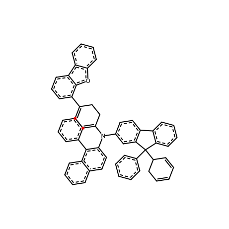 C1=CCC(C2(c3ccccc3)c3ccccc3-c3ccc(N(C4=CC=C(c5cccc6c5oc5ccccc56)CC4)c4ccc5ccccc5c4-c4ccccc4)cc32)C=C1